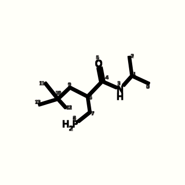 CC(C)NC(=O)C(CP)CC(C)(C)C